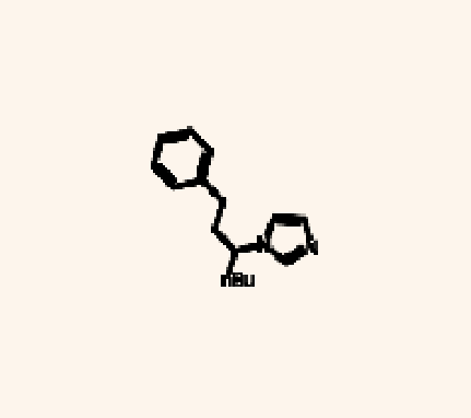 CCCCC(CCc1ccccc1)n1ccnc1